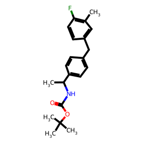 Cc1cc(Cc2ccc(C(C)NC(=O)OC(C)(C)C)cc2)ccc1F